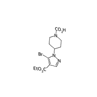 CCOC(=O)c1cnn(C2CCN(C(=O)O)CC2)c1Br